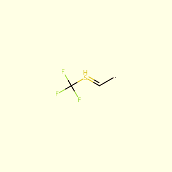 [CH2]C=[SH]C(F)(F)F